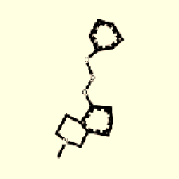 CN1CCc2c(cccc2OOOc2ccccc2)C1